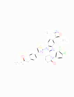 CNC(=O)Cc1ccc(-c2csc(-n3c([C@@H]4CCCC(=O)N4c4ccc(F)c(F)c4)nc4cc(-c5c(C)noc5C)ccc43)n2)cc1